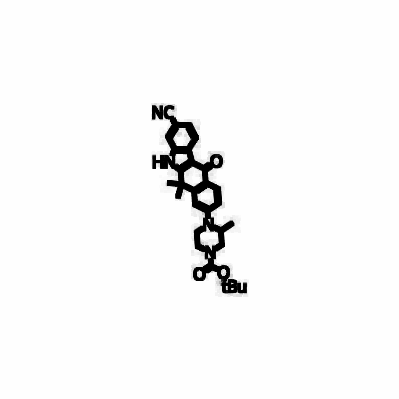 CC1CN(C(=O)OC(C)(C)C)CCN1c1ccc2c(c1)C(C)(C)c1[nH]c3cc(C#N)ccc3c1C2=O